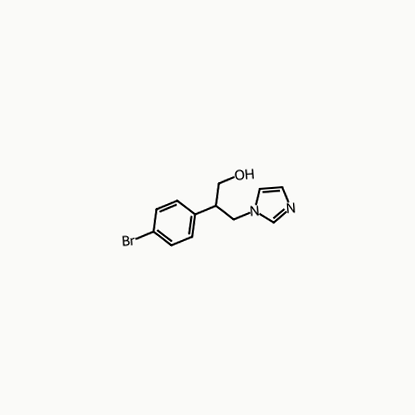 OCC(Cn1ccnc1)c1ccc(Br)cc1